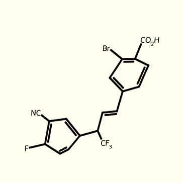 N#Cc1cc(C(C=Cc2ccc(C(=O)O)c(Br)c2)C(F)(F)F)ccc1F